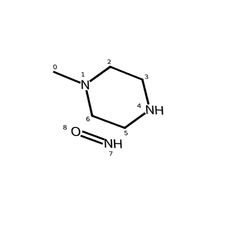 CN1CCNCC1.N=O